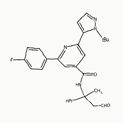 CCCC(C)(CC=O)NC(=O)c1cc(-c2ccc(F)cc2)nc(-c2ccnn2C(C)(C)C)c1